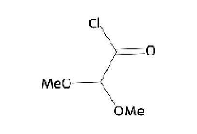 COC(OC)C(=O)Cl